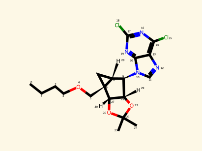 CCCCOC[C@@]12C[C@@H]1[C@@H](n1cnc3c(Cl)nc(Cl)nc31)[C@@H]1OC(C)(C)O[C@@H]12